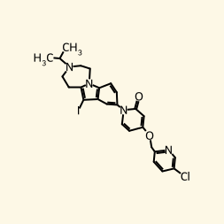 CC(C)N1CCc2c(I)c3cc(-n4ccc(OCc5ccc(Cl)cn5)cc4=O)ccc3n2CC1